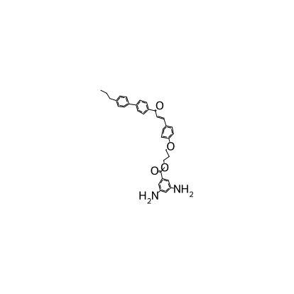 CCCc1ccc(-c2ccc(C(=O)/C=C/c3ccc(OCCCOC(=O)c4cc(N)cc(N)c4)cc3)cc2)cc1